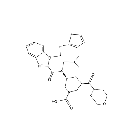 CC(C)CN(C(=O)c1nc2ccccc2n1CCc1cccs1)[C@H]1C[C@@H](C(=O)N2CCOCC2)CN(C(=O)O)C1